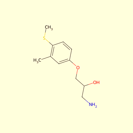 CSc1ccc(OCC(O)CN)cc1C